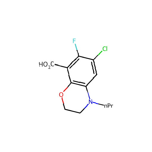 CCCN1CCOc2c1cc(Cl)c(F)c2C(=O)O